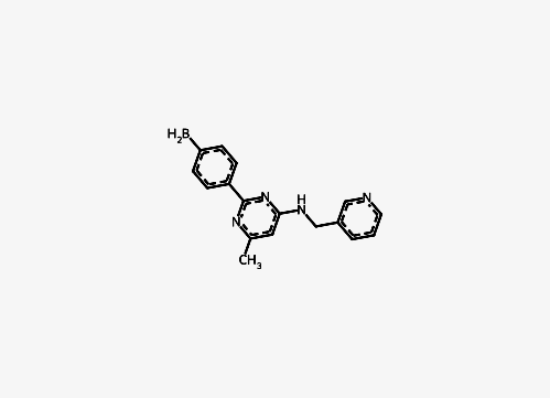 Bc1ccc(-c2nc(C)cc(NCc3cccnc3)n2)cc1